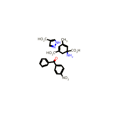 CC1=CC(N)(C(=O)O)CC(C(=O)O)=C1.O=C(O)c1cn[nH]c1.O=C(c1ccccc1)c1ccc([N+](=O)[O-])cc1